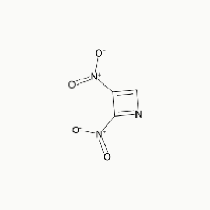 O=[N+]([O-])C1=CN=C1[N+](=O)[O-]